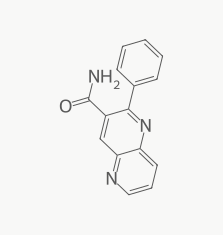 NC(=O)c1cc2ncccc2nc1-c1ccccc1